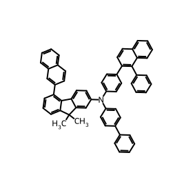 CC1(C)c2cc(N(c3ccc(-c4ccccc4)cc3)c3ccc(-c4ccc5ccccc5c4-c4ccccc4)cc3)ccc2-c2c(-c3ccc4ccccc4c3)cccc21